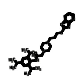 CC(C)c1cc(C(C)C)c(NC(=O)CN2CCN(CCCSc3nc4ncccc4o3)CC2)c(C(C)C)c1